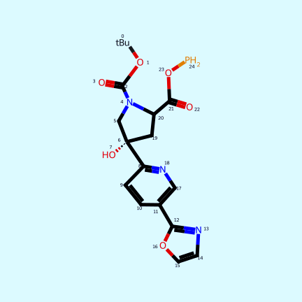 CC(C)(C)OC(=O)N1C[C@](O)(c2ccc(-c3ncco3)cn2)CC1C(=O)OP